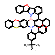 CC(C)(C)c1ccc(N2c3cc4c(cc3B3c5c2cc2ccccc2c5-c2cccc5c6oc7ccccc7c6n3c25)Oc2ccccc2S4)c(-c2ccccc2)c1